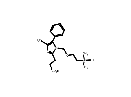 Cc1nc(CCC(=O)O)n(COCC[Si](C)(C)C)c1-c1ccccc1